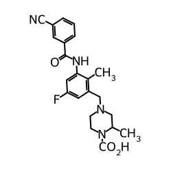 Cc1c(CN2CCN(C(=O)O)C(C)C2)cc(F)cc1NC(=O)c1cccc(C#N)c1